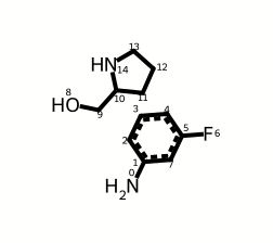 Nc1cccc(F)c1.OCC1CCCN1